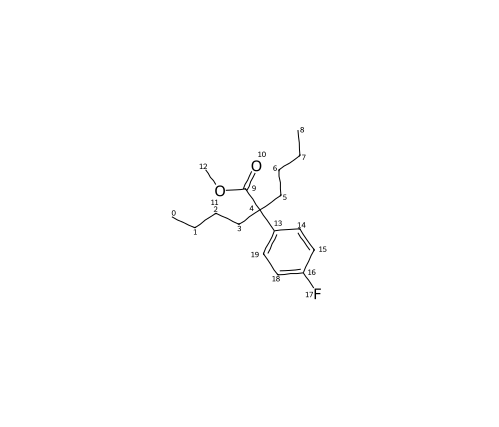 CCCCC(CCCC)(C(=O)OC)c1ccc(F)cc1